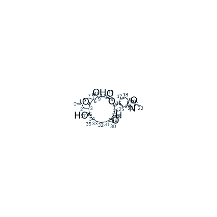 C=CC[C@H]1C(=O)C(C)(C)[C@@H](O)CC(=O)O[C@H](c2ccc3oc(C)nc3c2)C[C@@H]2O[C@@]2(C)CCC[C@H](C)[C@H]1O